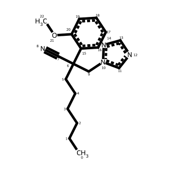 CCCCCCC(C#N)(Cn1cncn1)c1ccccc1OC